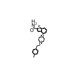 Cc1ccc(CCN2CCN(c3cccc4sc(C(N)=O)cc34)CC2)cc1